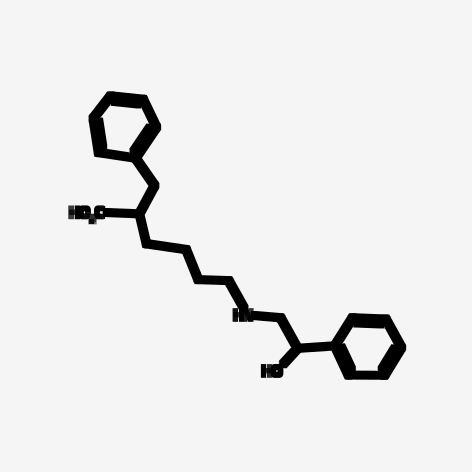 O=C(O)C(CCCCNCC(O)c1ccccc1)Cc1ccccc1